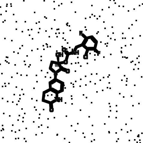 O=C1CCc2cc(N3CC[C@](O)(OC(=O)NCc4c(F)ccc(F)c4Cl)C3=O)ccc2N1